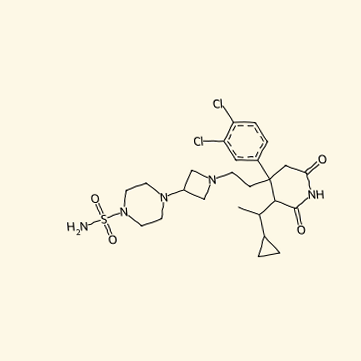 CC(C1CC1)C1C(=O)NC(=O)CC1(CCN1CC(N2CCN(S(N)(=O)=O)CC2)C1)c1ccc(Cl)c(Cl)c1